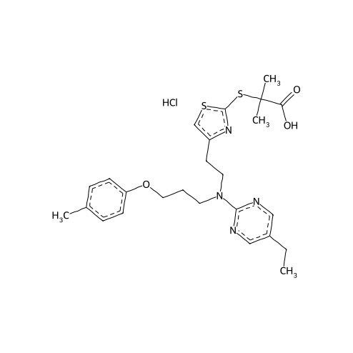 CCc1cnc(N(CCCOc2ccc(C)cc2)CCc2csc(SC(C)(C)C(=O)O)n2)nc1.Cl